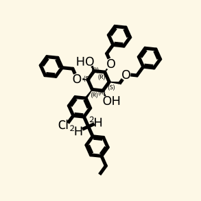 [2H]C([2H])(c1ccc(CC)cc1)c1cc([C@@H]2[C@@H](O)[C@H](COCc3ccccc3)[C@@H](OCc3ccccc3)[C@H](O)[C@H]2OCc2ccccc2)ccc1Cl